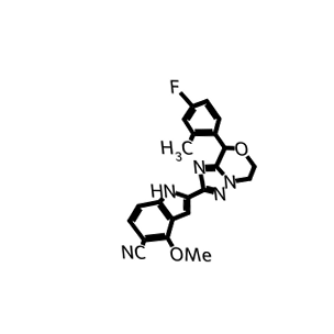 COc1c(C#N)ccc2[nH]c(-c3nc4n(n3)CCOC4c3ccc(F)cc3C)cc12